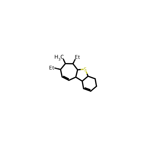 CCC1C=CC2C3C=CCCC3SC2C(CC)C1C